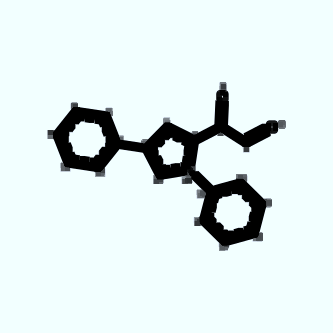 O=CC(=O)c1cc(-c2ccccc2)cn1-c1ccccc1